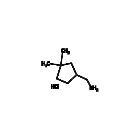 CC1(C)CCC(CN)C1.Cl